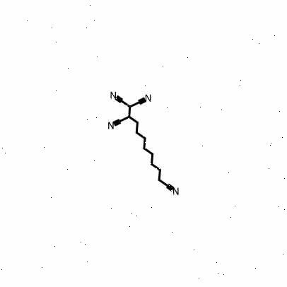 N#CCCCCCCCCC(C#N)C(C#N)C#N